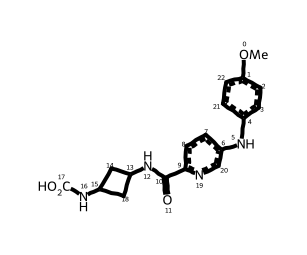 COc1ccc(Nc2ccc(C(=O)NC3CC(NC(=O)O)C3)nc2)cc1